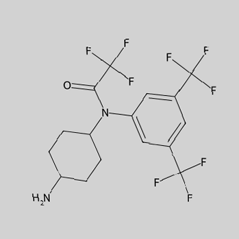 NC1CCC(N(C(=O)C(F)(F)F)c2cc(C(F)(F)F)cc(C(F)(F)F)c2)CC1